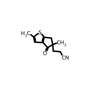 Cc1cc2c(s1)CC(C)(CCC#N)C2=O